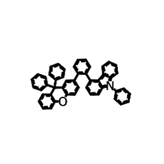 c1ccc(-n2c3ccccc3c3c(-c4ccccc4-c4ccc5c(c4)C(c4ccccc4)(c4ccccc4)c4ccccc4O5)cccc32)cc1